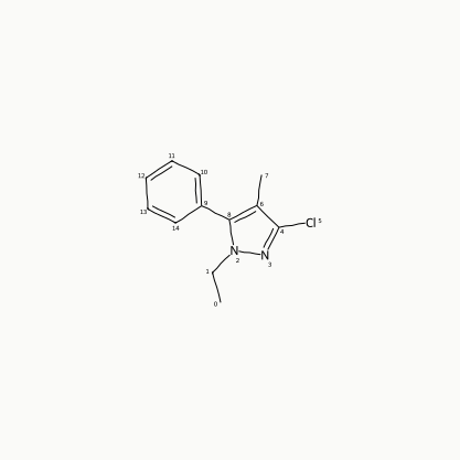 CCn1nc(Cl)c(C)c1-c1ccccc1